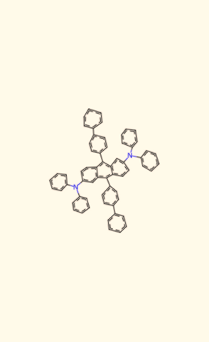 c1ccc(-c2ccc(-c3c4ccc(N(c5ccccc5)c5ccccc5)cc4c(-c4ccc(-c5ccccc5)cc4)c4ccc(N(c5ccccc5)c5ccccc5)cc34)cc2)cc1